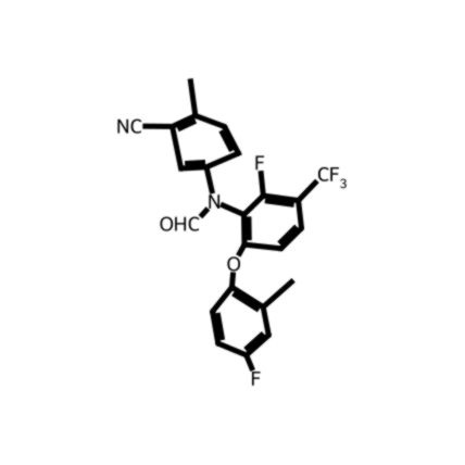 Cc1ccc(N(C=O)c2c(Oc3ccc(F)cc3C)ccc(C(F)(F)F)c2F)cc1C#N